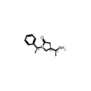 C[C@H](N)[C@@H]1CC(=O)N([C@@H](C)c2ccccc2)C1